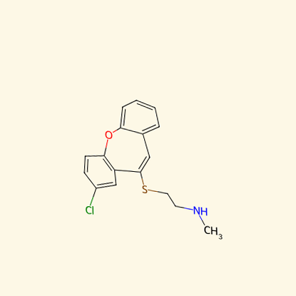 CNCCSC1=Cc2ccccc2Oc2ccc(Cl)cc21